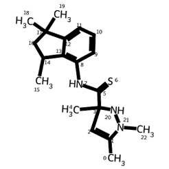 CC1=CC(C)(C(=S)Nc2cccc3c2C(C)CC3(C)C)NN1C